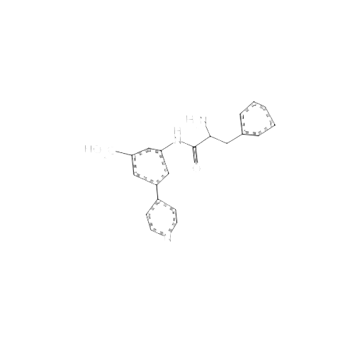 NC(Cc1ccccc1)C(=O)Nc1cc(C(=O)O)cc(-c2ccncc2)c1